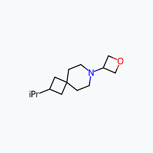 CC(C)C1CC2(CCN(C3COC3)CC2)C1